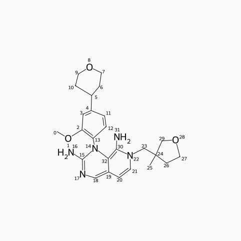 COc1cc(C2CCOCC2)ccc1N1C(N)=NC=C2C=CN(CC3(C)CCOC3)C(N)=C21